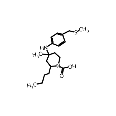 CCCCC1CC(C)(Nc2ccc(CSC)cc2)CCN1C(=O)O